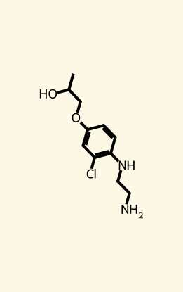 CC(O)COc1ccc(NCCN)c(Cl)c1